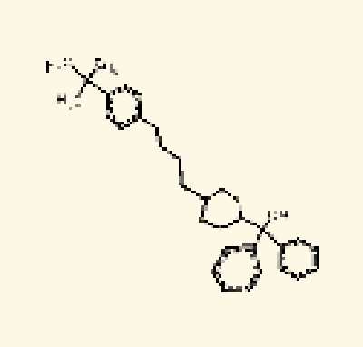 CC(C)(C)c1ccc(CCCCC2CCC(C(O)(c3ccccc3)c3ccccc3)CC2)cc1